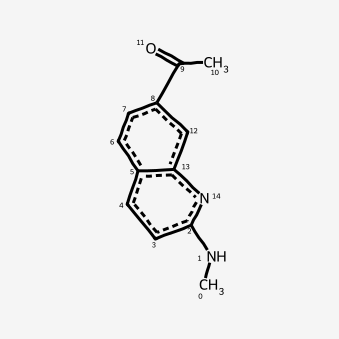 CNc1ccc2ccc(C(C)=O)cc2n1